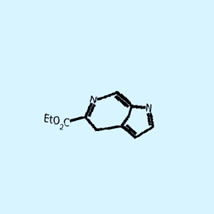 CCOC(=O)C1=NC=C2N=CC=C2C1